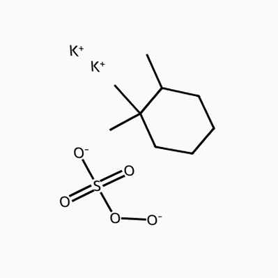 CC1CCCCC1(C)C.O=S(=O)([O-])O[O-].[K+].[K+]